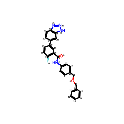 O=C(Nc1ccc(COCc2ccccc2)cc1)c1cc(-c2ccc3nn[nH]c3c2)ccc1F